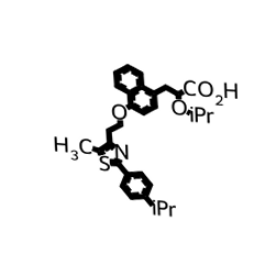 Cc1sc(-c2ccc(C(C)C)cc2)nc1CCOc1ccc(CC(OC(C)C)C(=O)O)c2ccccc12